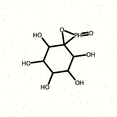 O=[PH]1OC12C(O)C(O)C(O)C(O)C2O